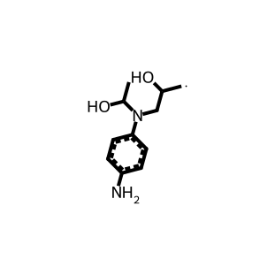 [CH2]C(O)CN(c1ccc(N)cc1)C(C)O